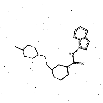 CN1CCN(CCN2CCCC(C(=O)Nn3ccc4ccccc43)C2)CC1